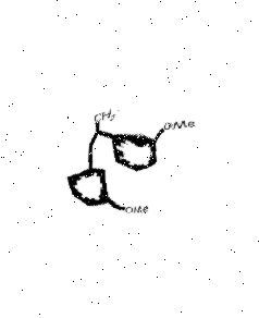 [CH2]C(Cc1cccc(OC)c1)c1cccc(OC)c1